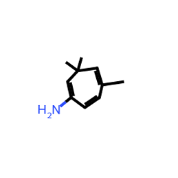 CC1=CC(C)(C)C=C(N)C=C1